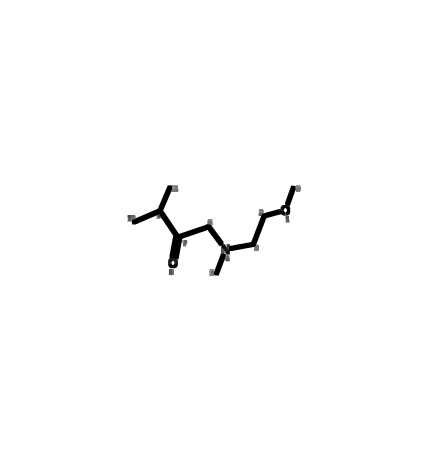 COCCN(C)CC(=O)C(C)C